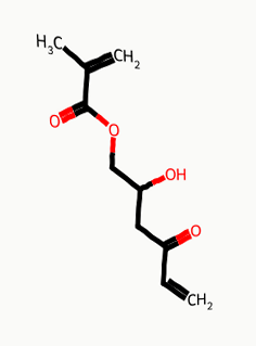 C=CC(=O)CC(O)COC(=O)C(=C)C